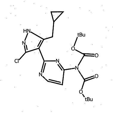 CC(C)(C)OC(=O)N(C(=O)OC(C)(C)C)c1ccnc(-c2c(Cl)n[nH]c2CC2CC2)n1